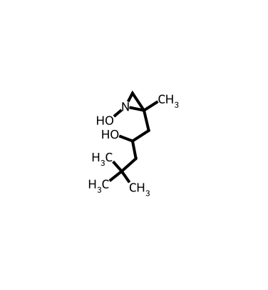 CC(C)(C)CC(O)CC1(C)CN1O